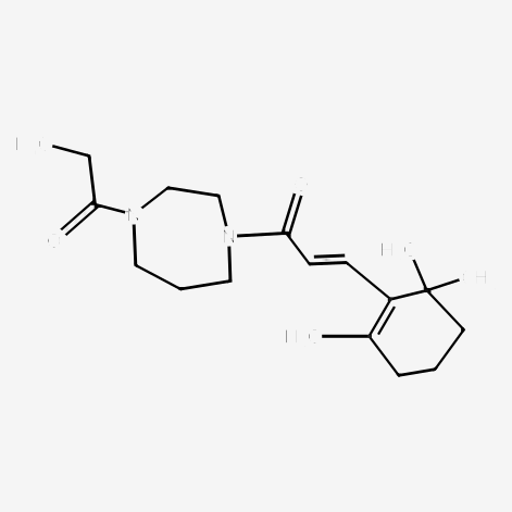 CCC(=O)N1CCCN(C(=O)/C=C/C2=C(C)CCCC2(C)C)CC1